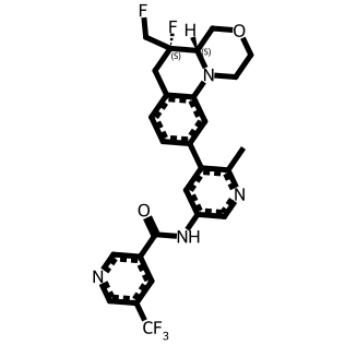 Cc1ncc(NC(=O)c2cncc(C(F)(F)F)c2)cc1-c1ccc2c(c1)N1CCOC[C@H]1[C@](F)(CF)C2